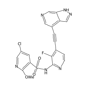 COc1ncc(Cl)cc1S(=O)(=O)Nc1nccc(C#Cc2cncc3[nH]ncc23)c1F